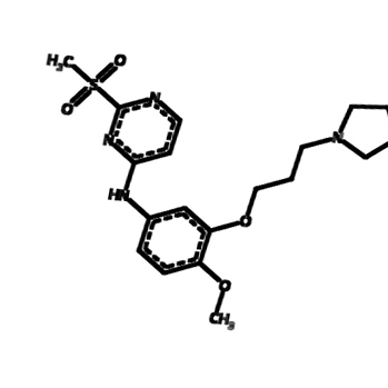 COc1ccc(Nc2ccnc(S(C)(=O)=O)n2)cc1OCCCN1CCCC1